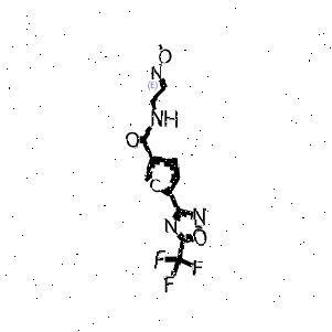 CO/N=C/CNC(=O)c1ccc(-c2noc(C(F)(F)F)n2)cc1